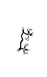 O=C(CCCC(=O)P(=O)(O)O)P(=O)(O)O